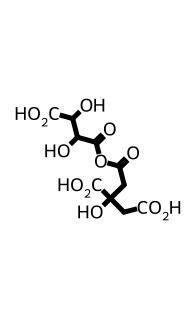 O=C(O)CC(O)(CC(=O)OC(=O)C(O)C(O)C(=O)O)C(=O)O